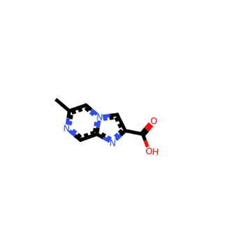 Cc1cn2cc(C(=O)O)nc2cn1